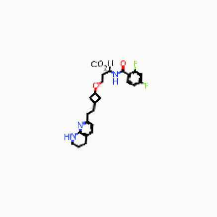 O=C(N[C@@H](CCOC1CC(CCc2ccc3c(n2)NCCC3)C1)C(=O)O)c1ccc(F)cc1F